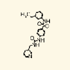 CCc1cccc(NS(=O)(=O)c2ccc(NC(=O)NCc3cccnc3)cc2)c1